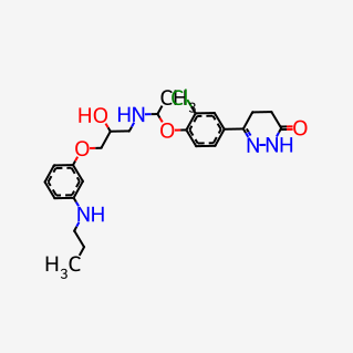 CCCNc1cccc(OCC(O)CNC(C)Oc2ccc(C3=NNC(=O)CC3)cc2Cl)c1